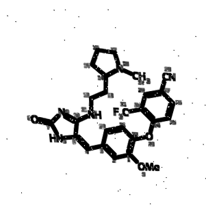 COc1cc(C=C2NC(=O)N=C2NCCC2CCCN2C)ccc1Oc1ccc(C#N)cc1C(F)(F)F